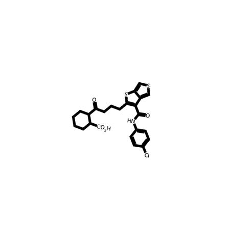 O=C(Nc1ccc(Cl)cc1)c1c(CCCC(=O)C2CCCCC2C(=O)O)sc2cscc12